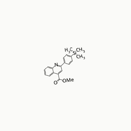 COC(=O)c1cc(-c2ccc([Si](C)(C)C)cc2)nc2ccccc12